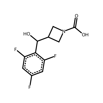 O=C(O)N1CC(C(O)c2c(F)cc(F)cc2F)C1